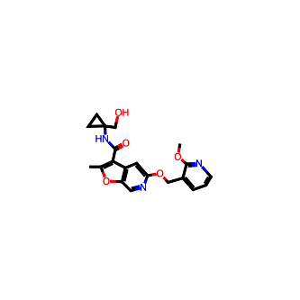 COc1ncccc1COc1cc2c(C(=O)NC3(CO)CC3)c(C)oc2cn1